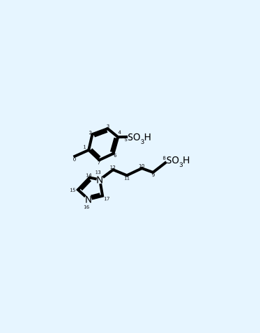 Cc1ccc(S(=O)(=O)O)cc1.O=S(=O)(O)CCCCn1ccnc1